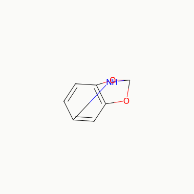 c1cc2c3cc1NC(O2)O3